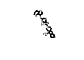 CNC1c2ccccc2CC12CCN(c1nc3ncc(Sc4ccnc5cccnc45)nc3[nH]1)CC2